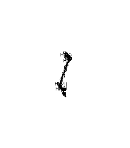 CCCn1cc(-c2nc(Nc3ccc(NC(=O)CCOCCOCCOCCOCCOCCOCCNc4cccc5c4C(=O)N(C4CCC(=O)NC4=O)C5=O)cc3)nc3[nH]ccc23)cn1